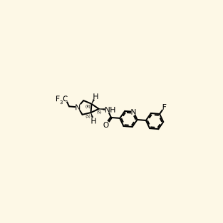 O=C(N[C@H]1[C@@H]2CN(CC(F)(F)F)C[C@@H]21)c1ccc(-c2cccc(F)c2)nc1